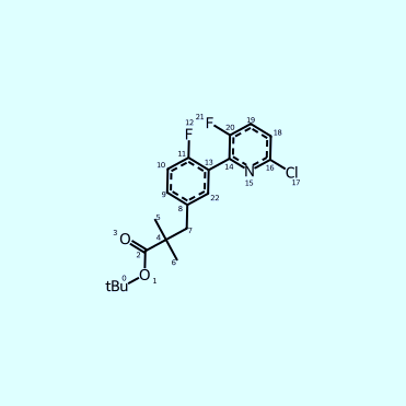 CC(C)(C)OC(=O)C(C)(C)Cc1ccc(F)c(-c2nc(Cl)ccc2F)c1